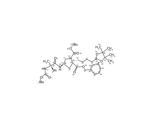 CC(C)[C@](C)(NC(=O)OC(C)(C)C)C(=O)N[C@H]1CN(C(=O)OC(C)(C)C)[C@@](CCCCB2OC(C)(C)C(C)(C)O2)(C(=O)OCc2ccccc2)C1